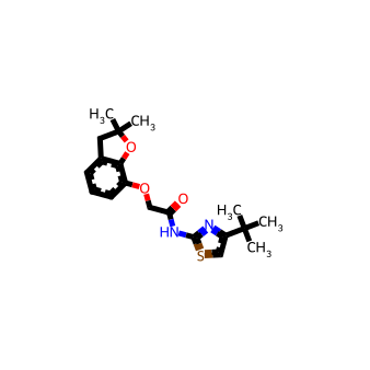 CC1(C)Cc2cccc(OCC(=O)Nc3nc(C(C)(C)C)cs3)c2O1